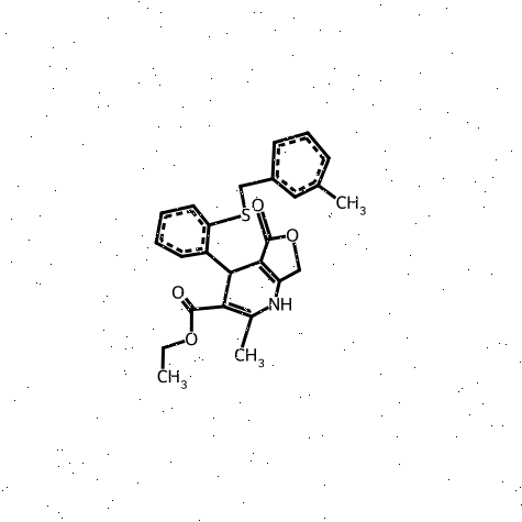 CCOC(=O)C1=C(C)NC2=C(C(=O)OC2)C1c1ccccc1SCc1cccc(C)c1